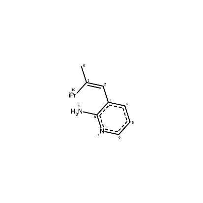 C/C(=C/c1cccnc1N)C(C)C